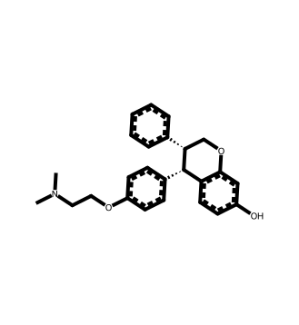 CN(C)CCOc1ccc([C@H]2c3ccc(O)cc3OC[C@H]2c2ccccc2)cc1